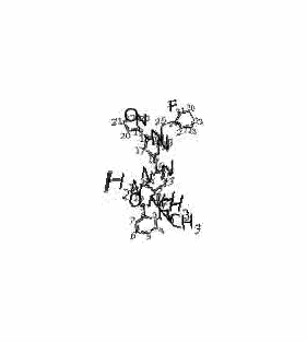 CN(C)c1ccccc1C(=O)Nc1cnc(-c2cc(-c3ccon3)n(Cc3ccccc3F)n2)nc1N